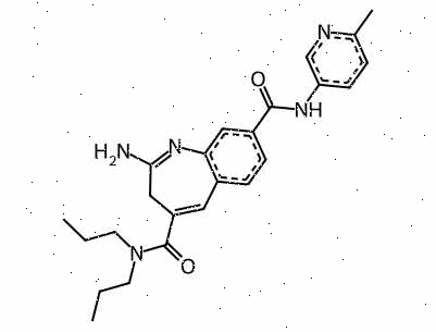 CCCN(CCC)C(=O)C1=Cc2ccc(C(=O)Nc3ccc(C)nc3)cc2N=C(N)C1